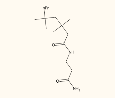 CCCC(C)(C)CC(C)(C)CC(=O)NCCC(N)=O